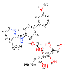 CCOc1cccc(-c2ccc(Nc3ncccc3C(=O)O)c(OC(F)(F)F)c2)c1.CNC[C@H](O)[C@@H](O)[C@H](O)[C@H](O)CO